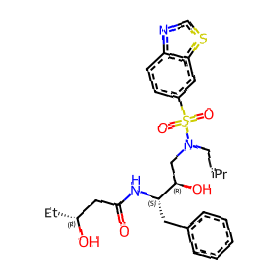 CC[C@@H](O)CC(=O)N[C@@H](Cc1ccccc1)[C@H](O)CN(CC(C)C)S(=O)(=O)c1ccc2ncsc2c1